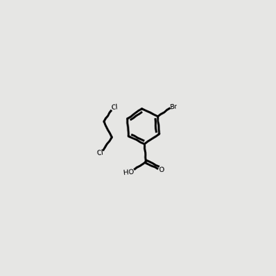 ClCCCl.O=C(O)c1cccc(Br)c1